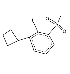 CS(=O)(=O)c1cccc(C2CCC2)c1I